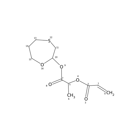 C=CC(=O)OC(C)C(=O)OC1CSCCCO1